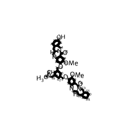 COc1cc2c(cc1OCc1cc(COc3cc4c(cc3OC)C(=O)N3Cc5cc(O)ccc5C[C@H]3C=N4)cc(CN(C)C)c1)N=C[C@@H]1Cc3ccccc3CN1C2=O